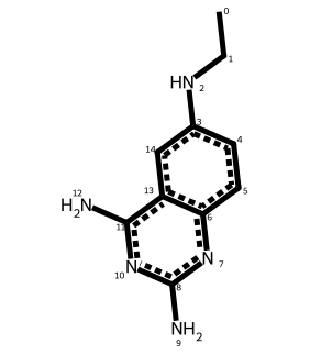 CCNc1ccc2nc(N)nc(N)c2c1